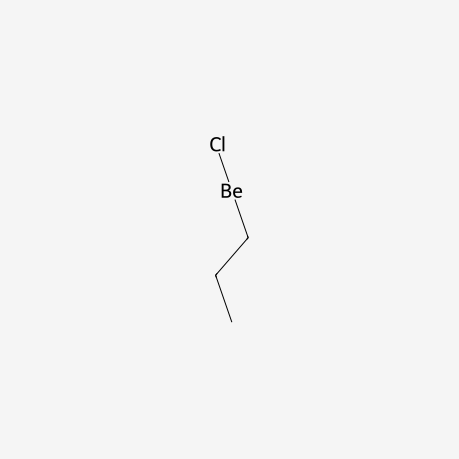 CC[CH2][Be][Cl]